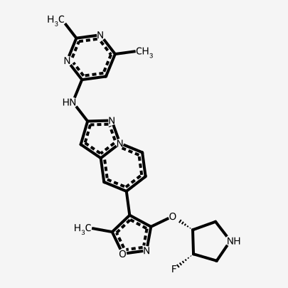 Cc1cc(Nc2cc3cc(-c4c(O[C@@H]5CNC[C@@H]5F)noc4C)ccn3n2)nc(C)n1